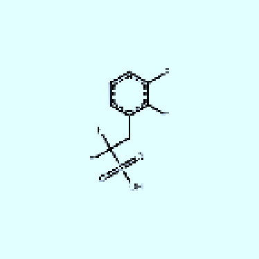 O=S(=O)(O)C(F)(F)Cc1cccc(F)c1F